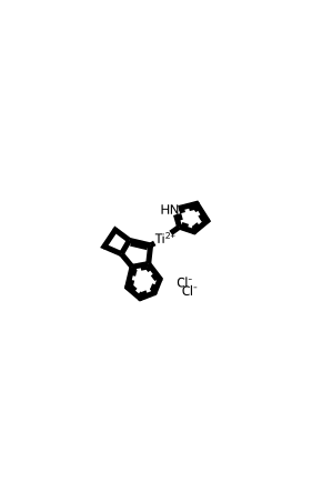 [Cl-].[Cl-].c1c[nH][c]([Ti+2][C]2=C3CCC3c3ccccc32)c1